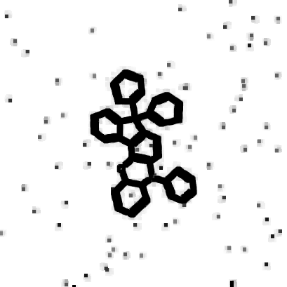 C1=CC2Oc3c(ccc4c3-c3ccccc3C4(c3ccccc3)c3ccccc3)N(c3ccccc3)C2C=C1